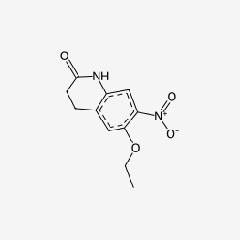 CCOc1cc2c(cc1[N+](=O)[O-])NC(=O)CC2